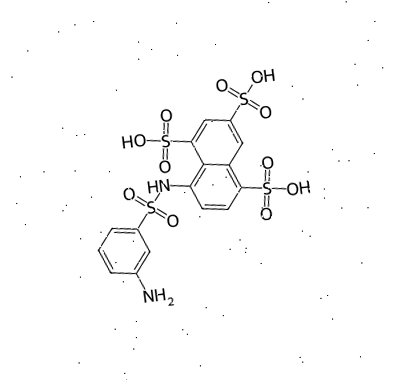 Nc1cccc(S(=O)(=O)Nc2ccc(S(=O)(=O)O)c3cc(S(=O)(=O)O)cc(S(=O)(=O)O)c23)c1